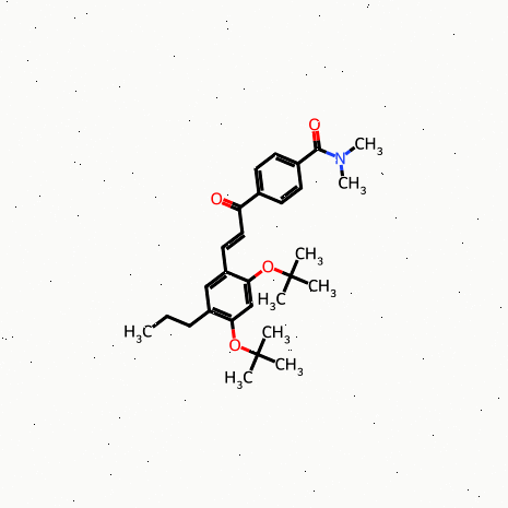 CCCc1cc(C=CC(=O)c2ccc(C(=O)N(C)C)cc2)c(OC(C)(C)C)cc1OC(C)(C)C